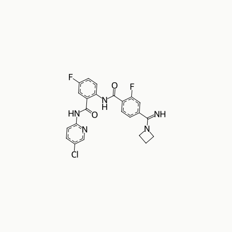 N=C(c1ccc(C(=O)Nc2ccc(F)cc2C(=O)Nc2ccc(Cl)cn2)c(F)c1)N1CCC1